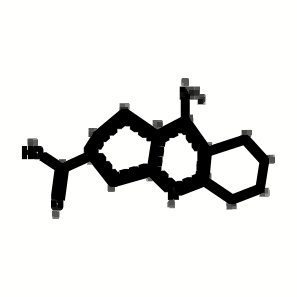 Nc1c2c(nc3cc(C(=O)O)ccc13)CCCC2